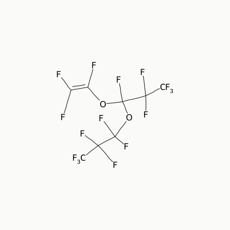 FC(F)=C(F)OC(F)(OC(F)(F)C(F)(F)C(F)(F)F)C(F)(F)C(F)(F)F